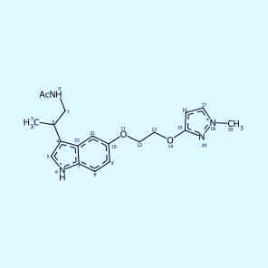 CC(=O)NCC(C)c1c[nH]c2ccc(OCCOc3ccn(C)n3)cc12